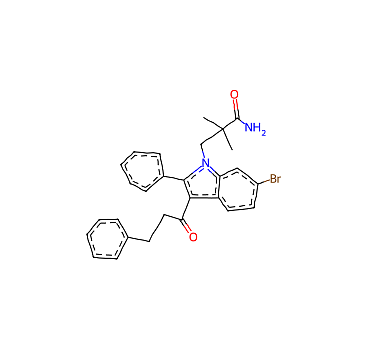 CC(C)(Cn1c(-c2ccccc2)c(C(=O)CCc2ccccc2)c2ccc(Br)cc21)C(N)=O